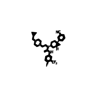 C=C(Nc1ccc(F)c(C(F)(F)F)c1)N(CCN1CCN(CC2CC2)CC1)[C@@H]1CC[C@]2(c3cccc(C#N)c3)C[C@@H]2C1